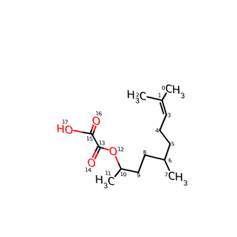 CC(C)=CCCC(C)CCC(C)OC(=O)C(=O)O